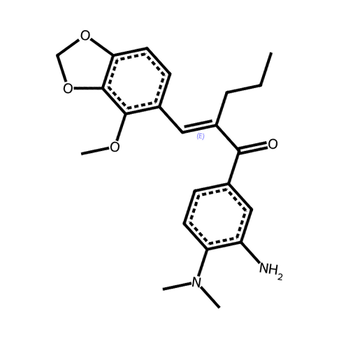 CCC/C(=C\c1ccc2c(c1OC)OCO2)C(=O)c1ccc(N(C)C)c(N)c1